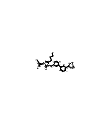 CCCCc1cn(C2C(=O)C2C)c(=O)n1Cc1cc(-c2cccc(-c3nnn[nH]3)c2)ccn1